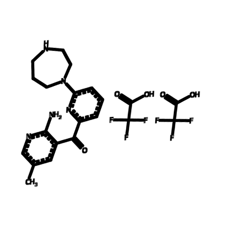 Cc1cnc(N)c(C(=O)c2cccc(N3CCCNCC3)n2)c1.O=C(O)C(F)(F)F.O=C(O)C(F)(F)F